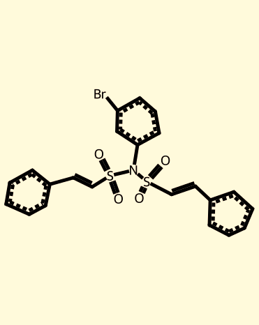 O=S(=O)(/C=C/c1ccccc1)N(c1cccc(Br)c1)S(=O)(=O)/C=C/c1ccccc1